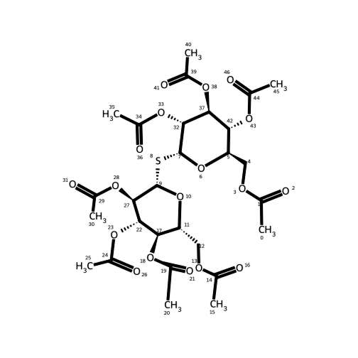 CC(=O)OC[C@H]1O[C@H](S[C@@H]2O[C@H](COC(C)=O)[C@@H](OC(C)=O)[C@H](OC(C)=O)[C@H]2OC(C)=O)[C@H](OC(C)=O)[C@@H](OC(C)=O)[C@@H]1OC(C)=O